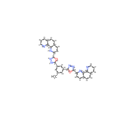 Cc1cc(-c2nnc(-c3ccc4ccc5cccnc5c4n3)o2)cc(-c2nnc(-c3ccc4ccc5cccnc5c4n3)o2)c1